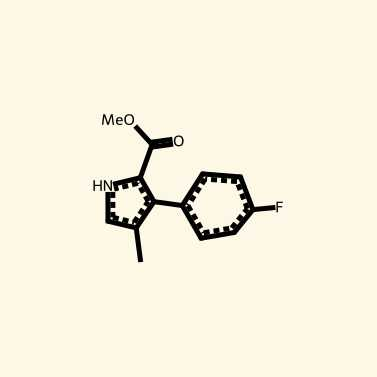 COC(=O)c1[nH]cc(C)c1-c1ccc(F)cc1